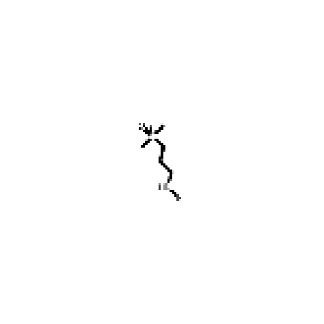 CCNCCC[SH](C)(C)=O